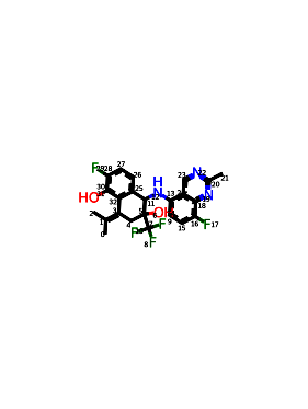 CC(C)=C1CC(O)(C(F)(F)F)C(Nc2ccc(F)c3nc(C)ncc23)c2ccc(F)c(O)c21